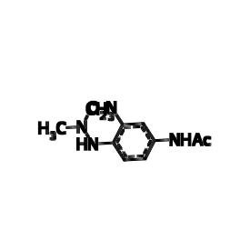 CC(=O)Nc1ccc(NN(C)C)c([N+](=O)[O-])c1